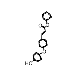 O=C(/C=C/c1ccc(Oc2ccc(O)cc2)cc1)Oc1ccccc1